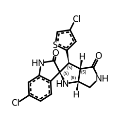 O=C1NC[C@@H]2N[C@@]3(C(=O)Nc4cc(Cl)ccc43)[C@@H](c3cc(Cl)cs3)[C@H]12